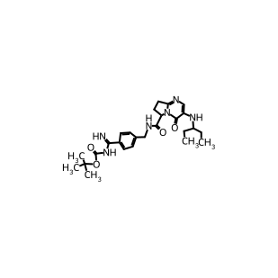 CCC(CC)Nc1cnc2n(c1=O)C(C(=O)NCc1ccc(C(=N)NC(=O)OC(C)(C)C)cc1)CC2